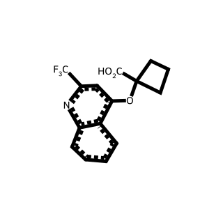 O=C(O)C1(Oc2cc(C(F)(F)F)nc3ccccc23)CCC1